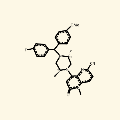 COc1ccc(C(c2ccc(F)cc2)N2C[C@H](C)N(c3cc(=O)n(C)c4ccc(C#N)nc34)C[C@H]2C)cc1